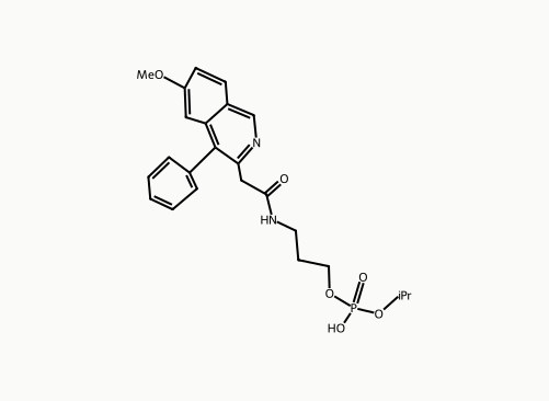 COc1ccc2cnc(CC(=O)NCCCOP(=O)(O)OC(C)C)c(-c3ccccc3)c2c1